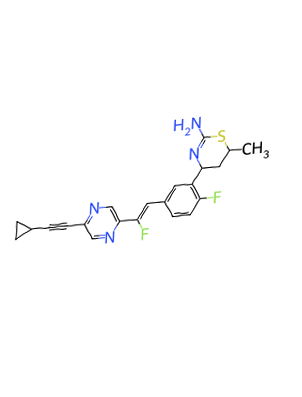 CC1CC(c2cc(/C=C(\F)c3cnc(C#CC4CC4)cn3)ccc2F)N=C(N)S1